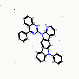 c1ccc(-c2nc(-n3c4cc5c6ccccc6n(-c6ccccc6)c5cc4c4cccnc43)nc3ccccc23)cc1